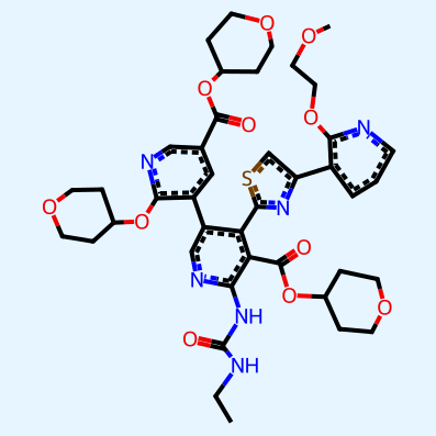 CCNC(=O)Nc1ncc(-c2cc(C(=O)OC3CCOCC3)cnc2OC2CCOCC2)c(-c2nc(-c3cccnc3OCCOC)cs2)c1C(=O)OC1CCOCC1